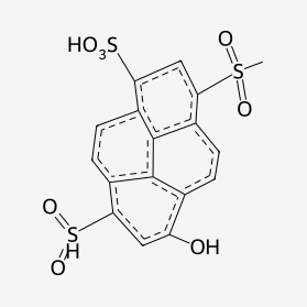 CS(=O)(=O)c1cc(S(=O)(=O)O)c2ccc3c([SH](=O)=O)cc(O)c4ccc1c2c43